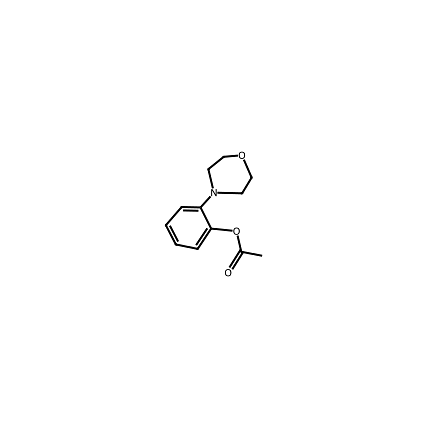 CC(=O)Oc1ccccc1N1CCOCC1